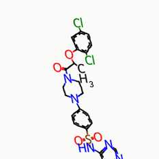 CC(Oc1cc(Cl)ccc1Cl)C(=O)N1CCN(c2ccc(S(=O)(=O)Nc3ccncn3)cc2)CC1